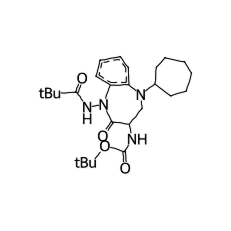 CC(C)(C)OC(=O)NC1CN(C2CCCCCC2)c2ccccc2N(NC(=O)C(C)(C)C)C1=O